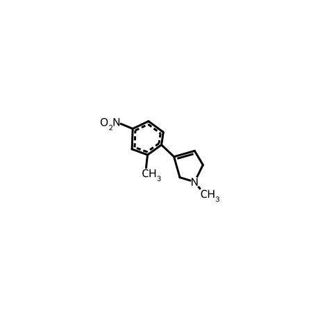 Cc1cc([N+](=O)[O-])ccc1C1=CCN(C)C1